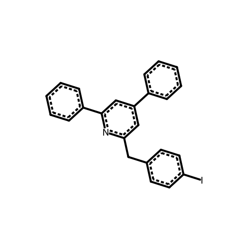 Ic1ccc(Cc2cc(-c3ccccc3)cc(-c3ccccc3)n2)cc1